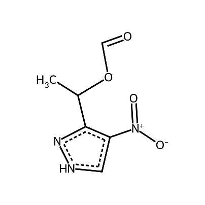 CC(OC=O)c1n[nH]cc1[N+](=O)[O-]